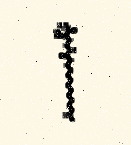 CNCCOCCOCCOCCC(=O)NCCC(NC)C(N)=O